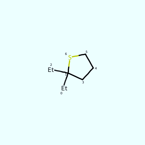 CCC1(CC)CCCS1